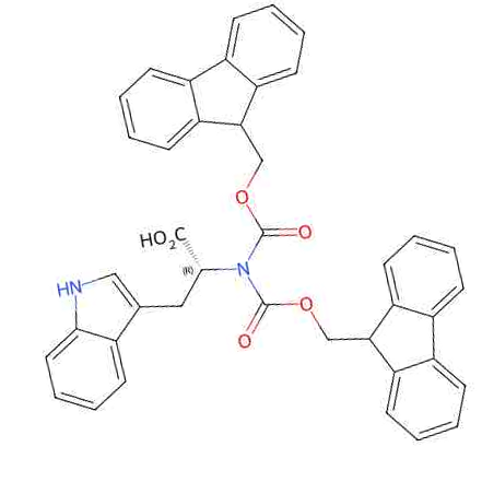 O=C(O)[C@@H](Cc1c[nH]c2ccccc12)N(C(=O)OCC1c2ccccc2-c2ccccc21)C(=O)OCC1c2ccccc2-c2ccccc21